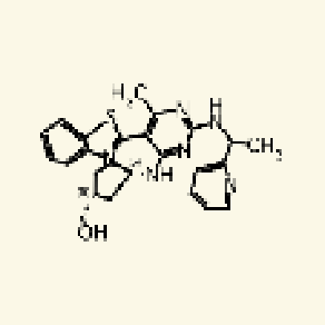 Cc1nc(NC(C)c2ccccn2)nc(N[C@H]2CC[C@@H](CO)C2)c1-c1nc2ccccc2s1